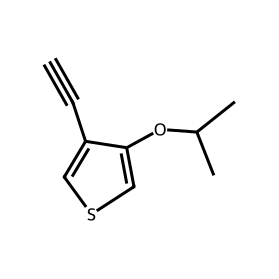 C#Cc1cscc1OC(C)C